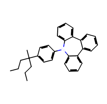 CCCC(C)(CCC)c1ccc(N2c3ccccc3-c3ccccc3-c3ccccc32)cc1